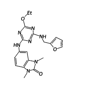 CCOc1nc(NCc2ccco2)nc(Nc2ccc3c(c2)n(C)c(=O)n3C)n1